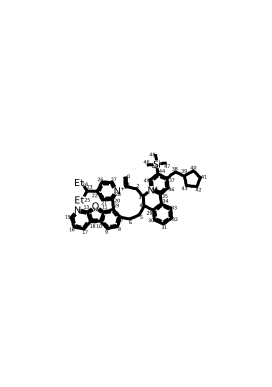 C=C1CC2C(CCc3ccc4c(oc5ncccc54)c3-c3cc(C(CC)CC)cc[n+]31)c1ccccc1-c1cc(CC3CCCC3)c([Si](C)(C)C)c[n+]12